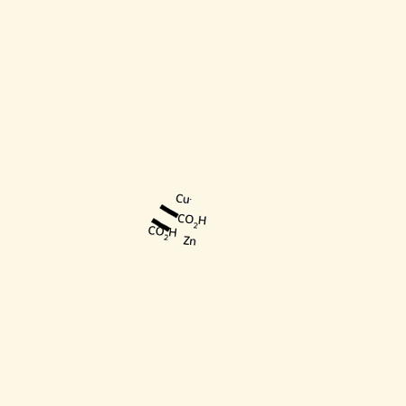 CC(=O)O.CC(=O)O.[Cu].[Zn]